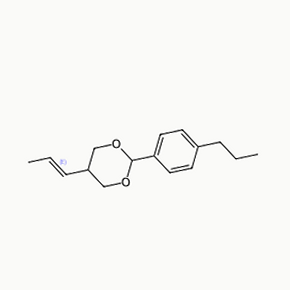 C/C=C/C1COC(c2ccc(CCC)cc2)OC1